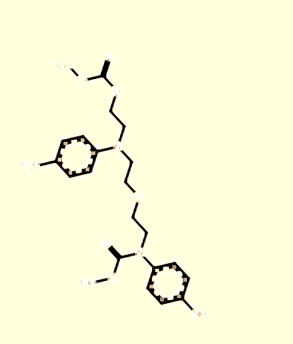 CC(C)(C)OC(=O)OCCN(CCOCCN(C(=O)OC(C)(C)C)c1ccc(N)cc1)c1ccc(N)cc1